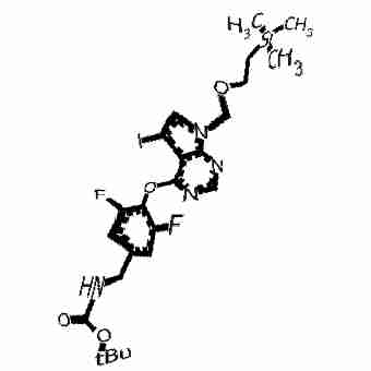 CC(C)(C)OC(=O)NCc1cc(F)c(Oc2ncnc3c2c(I)cn3COCC[Si](C)(C)C)c(F)c1